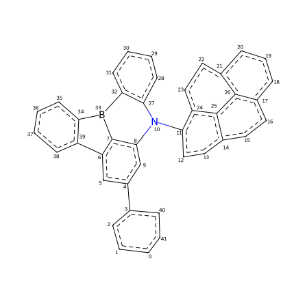 c1ccc(-c2cc3c4c(c2)N(c2ccc5ccc6cccc7ccc2c5c67)c2ccccc2B4c2ccccc2-3)cc1